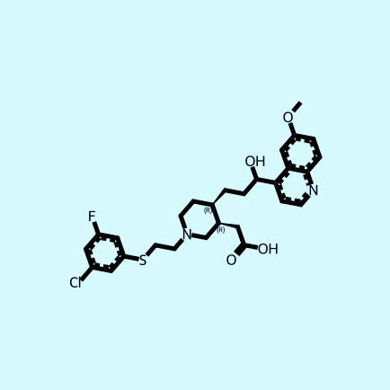 COc1ccc2nccc(C(O)CC[C@@H]3CCN(CCSc4cc(F)cc(Cl)c4)C[C@@H]3CC(=O)O)c2c1